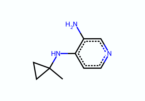 CC1(Nc2ccncc2N)CC1